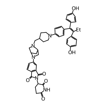 CCC(=C(c1ccc(O)cc1)c1ccc(N2CCC(CN3CC4CC3CN4c3ccc4c(c3)C(=O)N(C3CCC(=O)NC3=O)C4=O)CC2)cc1)c1ccc(O)cc1